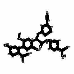 COc1cn(C(Cc2cccc(C#N)c2)C(=O)Nc2ccc(C(=O)O)cc2)c(=O)cc1-c1cc(Cl)ccc1C(C)=O